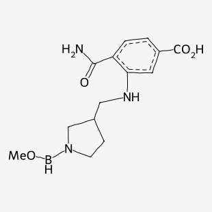 COBN1CCC(CNc2cc(C(=O)O)ccc2C(N)=O)C1